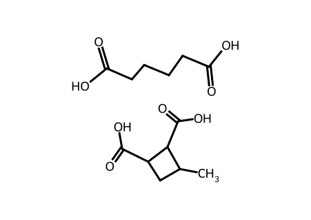 CC1CC(C(=O)O)C1C(=O)O.O=C(O)CCCCC(=O)O